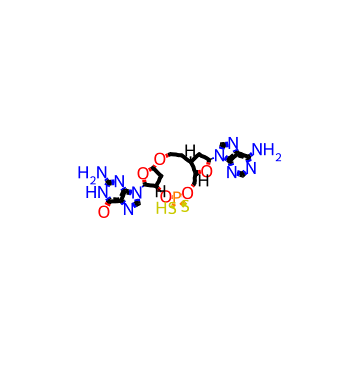 Nc1nc2c(ncn2[C@@H]2OC3C[C@H]2OP(=S)(S)OC[C@H]2O[C@@H](n4cnc5c(N)ncnc54)C[C@@H]2CCO3)c(=O)[nH]1